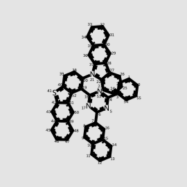 c1ccc(-c2nc(-c3ccc4ccccc4c3)nc(-c3c(-n4c5ccccc5c5cc6ccccc6cc54)ccc4sc5cc6ccccc6cc5c34)n2)cc1